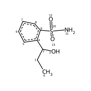 CCC(O)c1ccccc1S(N)(=O)=O